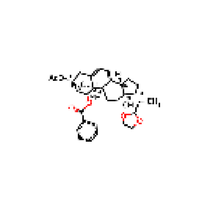 CC(=O)O[C@@H]1CC2=CC=C3[C@@H]4CC[C@H](C(C)C5OCCO5)[C@@]4(C)CC[C@@H]3[C@@]2(C)[C@@H](OC(=O)c2ccccc2)C1